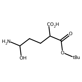 CC(C)(C)OC(=O)C(CCC(N)O)C(=O)O